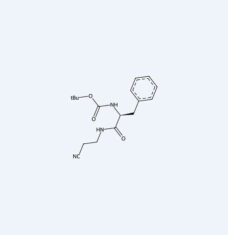 CC(C)(C)OC(=O)N[C@@H](Cc1ccccc1)C(=O)NCCC#N